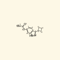 CC(C)(C)C(=O)Oc1ccc2c(C3CCC3)n[nH]c2c1